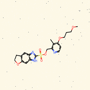 COCCCOc1ccnc(COS(=O)(=O)c2nc3cc4c(cc3[nH]2)OCC4)c1C